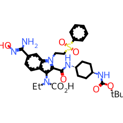 CCN(C(=O)O)c1c(C(=O)N[C@H]2CC[C@H](NC(=O)OC(C)(C)C)CC2)n(CCS(=O)(=O)c2ccccc2)c2cc(/C(N)=N/O)ccc12